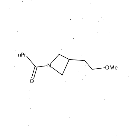 CCCC(=O)N1CC(CCOC)C1